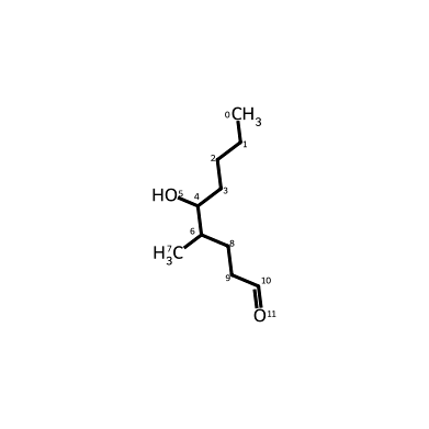 CCCCC(O)C(C)CCC=O